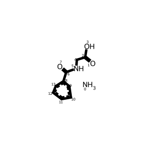 N.O=C(O)CNC(=O)c1ccccc1